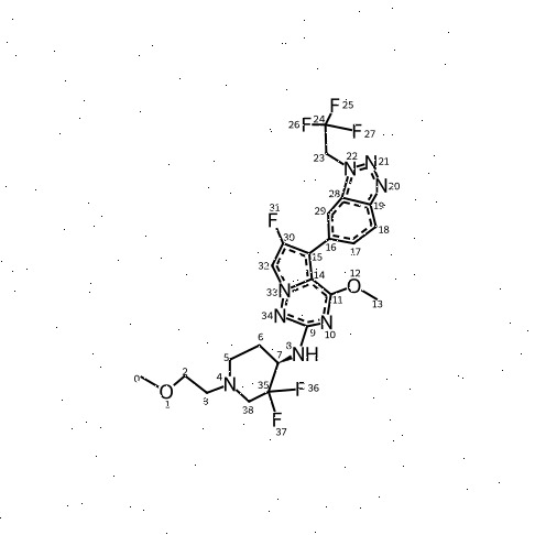 COCCN1CC[C@@H](Nc2nc(OC)c3c(-c4ccc5nnn(CC(F)(F)F)c5c4)c(F)cn3n2)C(F)(F)C1